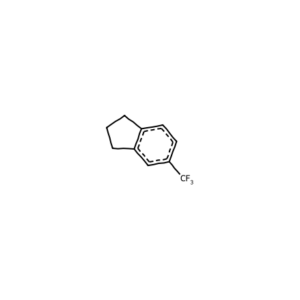 FC(F)(F)c1ccc2c(c1)CCC2